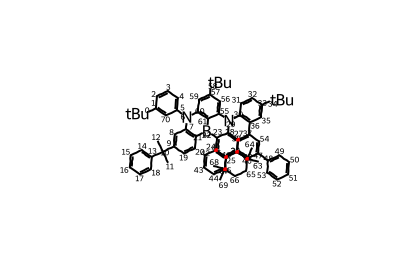 CC(C)(C)c1cccc(N2c3cc(C(C)(C)c4ccccc4)ccc3B3c4cc5c(cc4N(c4ccc(C(C)(C)C)cc4-c4cc(-c6ccccc6)cc(-c6ccccc6)c4)c4cc(C(C)(C)C)cc2c43)C(C)(C)CCC5(C)C)c1